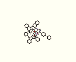 CC1C/C=C(c2cc3c(cc2-n2c4cc5ccccc5cc4c4c5ccccc5ccc42)oc2ccccc23)/N=C(c2ccc(-c3ccccc3)cc2)\N=C/1c1ccc2c3ccccc3n(-c3ccccc3)c2c1